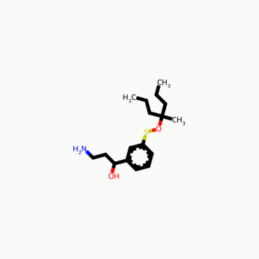 CCCC(C)(CCC)OSc1cccc(C(O)CCN)c1